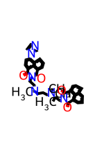 CN(CCCN(C)C(C)(C)CN1C(=O)c2cccc3cccc(c23)C1=O)CCN1C(=O)c2cccc3c(-n4ccnc4)ccc(c23)C1=O